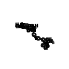 CC1(C)c2ccc(C3CCN(CC4CCC(c5cn([C@H](C(=O)N6C[C@H](O[Si](C)(C)C(C)(C)C)C[C@H]6C(=O)O)C(C)(C)C)nn5)CC4)CC3)cc2-n2c1nc(=O)c1c(Cl)cccc12